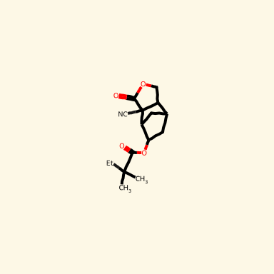 CCC(C)(C)C(=O)OC1CC2CC1C1(C#N)C(=O)OCC21